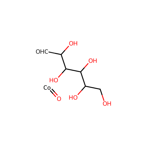 O=CC(O)C(O)C(O)C(O)CO.[O]=[Co]